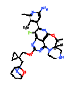 Cc1nc(N)cc(-c2nc3c4c(nc(OCC5(CN6CC7CCC6CO7)CC5)nc4c2F)N2CCNC[C@H]2[C@H](C)O3)c1C(F)(F)F